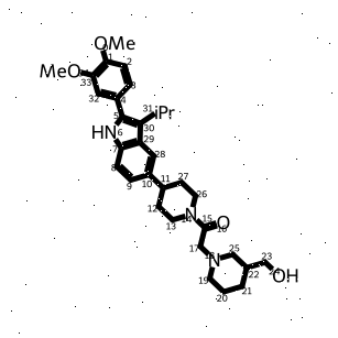 COc1ccc(-c2[nH]c3ccc(C4CCN(C(=O)CN5CCCC(CO)C5)CC4)cc3c2C(C)C)cc1OC